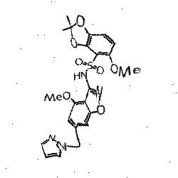 COc1ccc2c(c1S(=O)(=O)Nc1noc3cc(Cn4cccn4)cc(OC)c13)OC(C)(C)O2